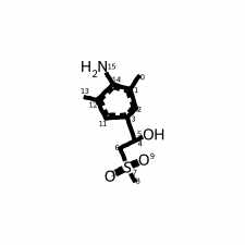 Cc1cc(C(O)CS(C)(=O)=O)cc(C)c1N